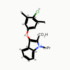 CCCn1c(C(=O)O)c(Oc2cc(C)c(Cl)c(C)c2)c2ccccc21